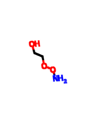 NOOCCO